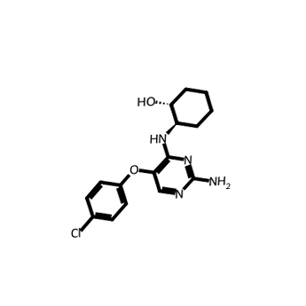 Nc1ncc(Oc2ccc(Cl)cc2)c(N[C@@H]2CCCC[C@H]2O)n1